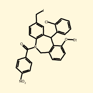 CCOc1cccc2c1C(c1ccccc1Cl)c1cc(CI)ccc1N(C(=O)c1ccc([N+](=O)[O-])cc1)C2